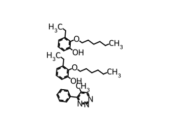 CCCCCCOc1c(O)cccc1CC.CCCCCCOc1c(O)cccc1CC.Cc1cnnnc1-c1ccccc1